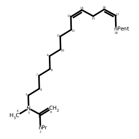 C=C(CCC)N(C)CCCCCCCC/C=C\C/C=C\CCCCC